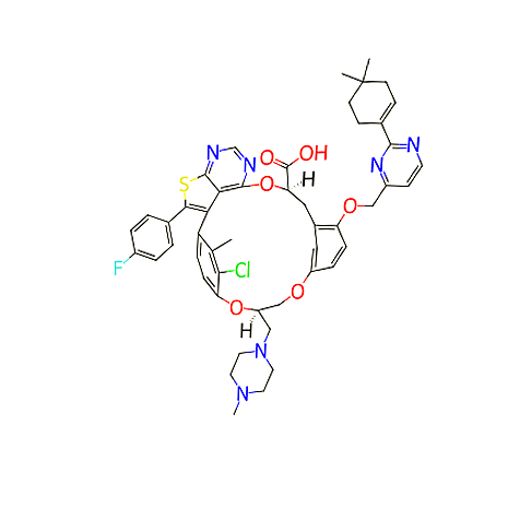 Cc1c2ccc(c1Cl)O[C@H](CN1CCN(C)CC1)COc1ccc(OCc3ccnc(C4=CCC(C)(C)CC4)n3)c(c1)C[C@H](C(=O)O)Oc1ncnc3sc(-c4ccc(F)cc4)c-2c13